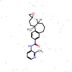 Cc1ncccc1NC(=O)c1ccc2c(c1)CCC[C@H]1C[C@]3(CC[C@@]21C)CO3